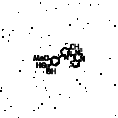 COc1cc(C2=NN(c3ncnc4ccsc34)C(C)CC2)ccc1B(O)O